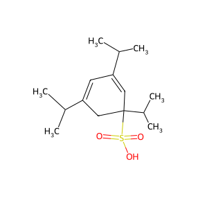 CC(C)C1=CC(C(C)C)(S(=O)(=O)O)CC(C(C)C)=C1